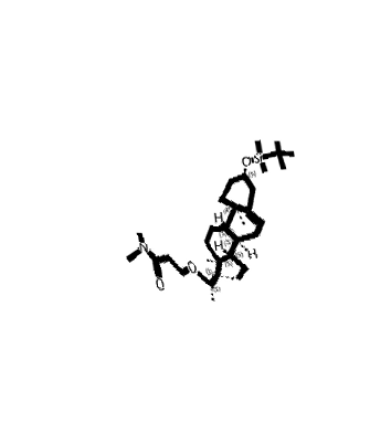 C[C@H](OCCC(=O)N(C)C)[C@H]1CC[C@H]2[C@@H]3CC=C4C[C@@H](O[Si](C)(C)C(C)(C)C)CC[C@]4(C)[C@H]3CC[C@]12C